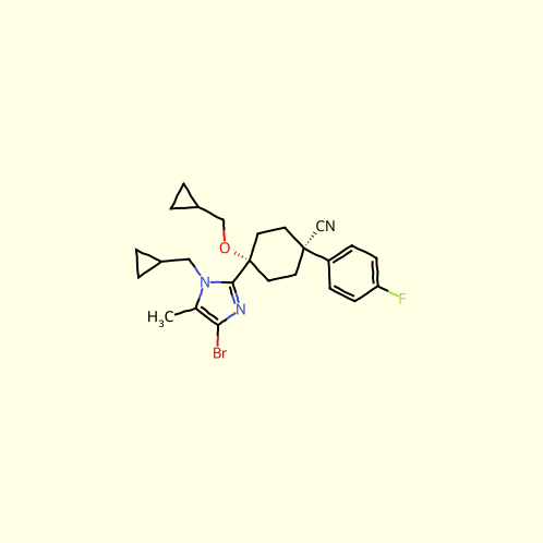 Cc1c(Br)nc([C@]2(OCC3CC3)CC[C@](C#N)(c3ccc(F)cc3)CC2)n1CC1CC1